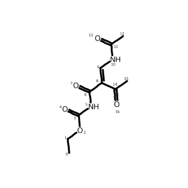 CCOC(=O)NC(=O)C(=CNC(C)=O)C(C)=O